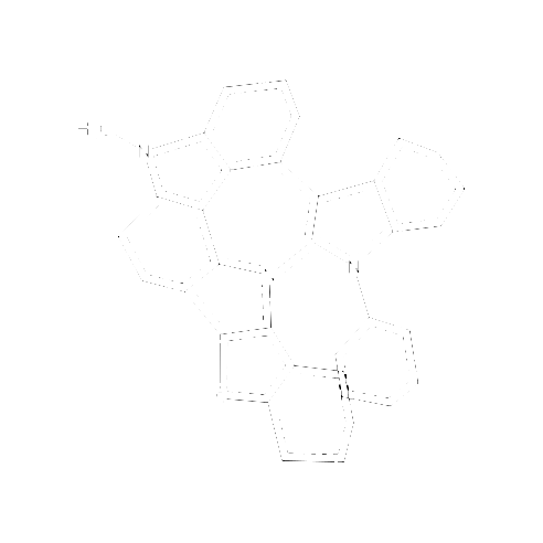 Cn1c2cccc3c2c2c1ccc1c4sc5ccccc5c4n(c12)c1c3c2ccccc2n1-c1ccccc1